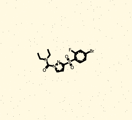 CCN(CC)C(=O)n1ccc(S(=O)(=O)c2ccc(Br)cc2F)n1